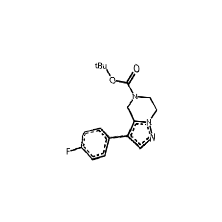 CC(C)(C)OC(=O)N1CCn2ncc(-c3ccc(F)cc3)c2C1